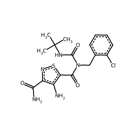 CC(C)(C)NC(=O)N(Cc1ccccc1Cl)C(=O)c1snc(C(N)=O)c1N